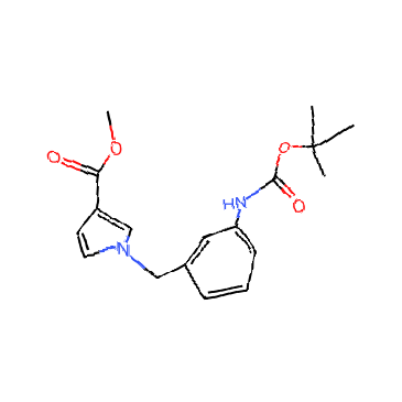 COC(=O)c1ccn(Cc2cccc(NC(=O)OC(C)(C)C)c2)c1